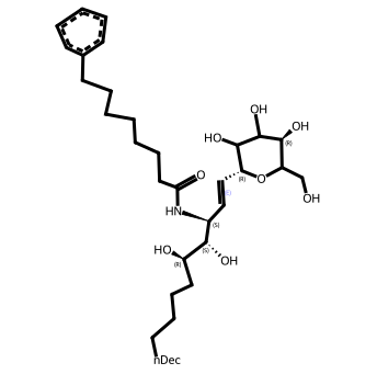 CCCCCCCCCCCCCC[C@@H](O)[C@@H](O)[C@H](/C=C/[C@H]1OC(CO)[C@H](O)C(O)C1O)NC(=O)CCCCCCCc1ccccc1